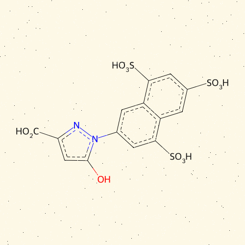 O=C(O)c1cc(O)n(-c2cc(S(=O)(=O)O)c3cc(S(=O)(=O)O)cc(S(=O)(=O)O)c3c2)n1